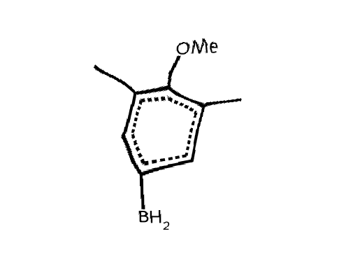 Bc1cc(C)c(OC)c(C)c1